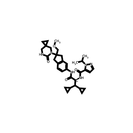 COCC1(N2CC3(CC3)CNC2=O)Cc2ccc(NC(=O)[C@@H](NC(=O)c3ccnn3C(C)C)C(C3CC3)C3CC3)cc2C1